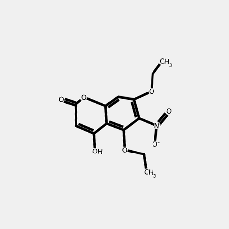 CCOc1cc2oc(=O)cc(O)c2c(OCC)c1[N+](=O)[O-]